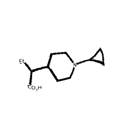 CCC(C(=O)O)C1CCN(C2CC2)CC1